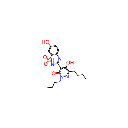 CCCCc1nn(CCCC)c(=O)c(C2=Nc3ccc(O)cc3S(=O)(=O)N2)c1O